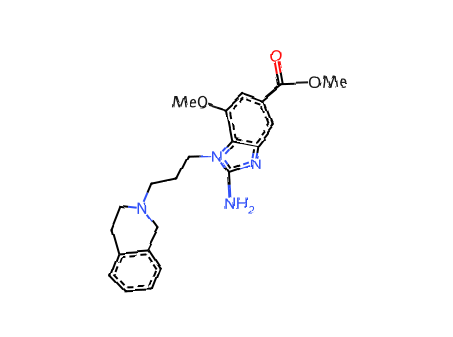 COC(=O)c1cc(OC)c2c(c1)nc(N)n2CCCN1CCc2ccccc2C1